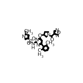 Cc1cccc(C)c1-c1cc(OC2CCN(C(=O)c3cnon3)C2)nc(NS(=O)(=O)c2cnn(C)c2)n1